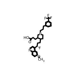 COc1ccc2nccc([C@@H](F)CCC3CCN(CCCc4cccc(C(F)(F)F)c4)CC3CCC(=O)O)c2c1